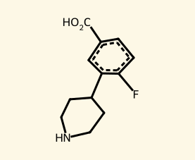 O=C(O)c1ccc(F)c(C2CCNCC2)c1